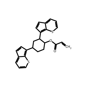 C=CC(=O)OC1CCC(c2ccc3cccsc2-3)CC1c1ccc2cccsc1-2